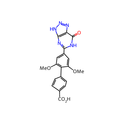 COc1cc(-c2nc3[nH]nnc3c(=O)[nH]2)cc(OC)c1-c1ccc(C(=O)O)cc1